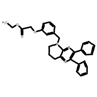 CCOC(=O)COc1cccc(CN2CCCc3nc(-c4ccccc4)c(-c4ccccc4)nc32)c1